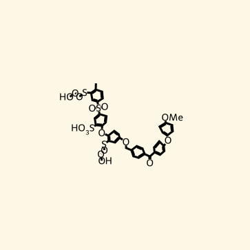 COc1ccc(Oc2ccc(C(=O)c3ccc(COc4ccc(Oc5ccc(S(=O)(=O)c6ccc(C)c(SOOO)c6)cc5S(=O)(=O)O)c(SOOO)c4)cc3)cc2)cc1